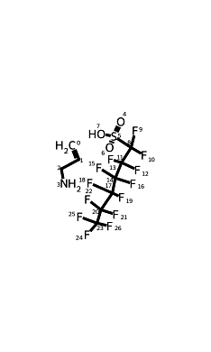 C=CCN.O=S(=O)(O)C(F)(F)C(F)(F)C(F)(F)C(F)(F)C(F)(F)C(F)(F)F